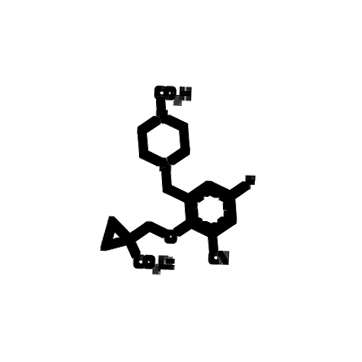 CCOC(=O)C1(COc2c(C#N)cc(F)cc2CN2CCN(C(=O)O)CC2)CC1